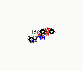 CC(C)(C)c1ccc(S(=O)(=O)c2ccccc2)cc1S(=O)(=O)NCCc1ccccn1